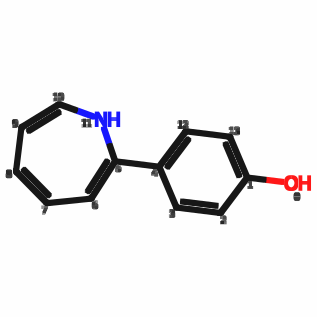 Oc1ccc(C2=CC=CC=CN2)cc1